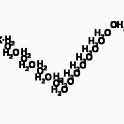 O.O.O.O.O.O.O.O.O.O.O.O.O.O.O.O.[K]